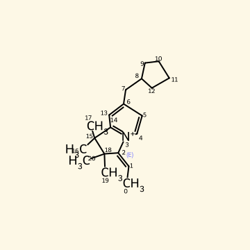 C/C=C1/[n+]2ccc(CC3CCCC3)cc2C(C)(C)C1(C)C